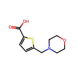 O=C(O)c1ccc(CN2CCOCC2)s1